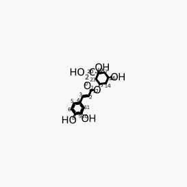 O=C(/C=C/c1ccc(O)c(O)c1)O[C@H]1C[C@H](O)C[C@@](O)(C(=O)O)C1